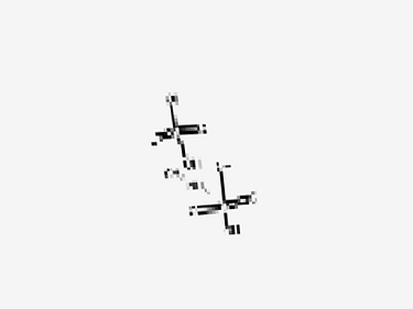 C.N.O=S(=O)(O)O.O=S(=O)(O)O